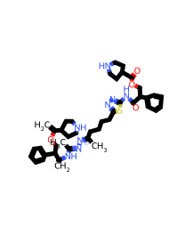 C=C(OCC(C(=C)N/C(C)=N/N=C(\C)CCCCc1nnc(NC(=O)C(COC(=O)C2CCNCC2)c2ccccc2)s1)c1ccccc1)C1CCNCC1